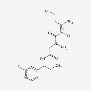 CCC/C(N)=C(/Cl)C(=O)N(N)CC(=O)NC(CC)c1ccnc(F)c1